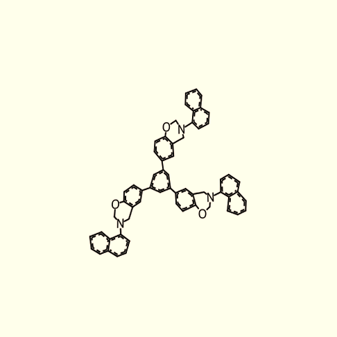 c1ccc2c(N3COc4ccc(-c5cc(-c6ccc7c(c6)CN(c6cccc8ccccc68)CO7)cc(-c6ccc7c(c6)CN(c6cccc8ccccc68)CO7)c5)cc4C3)cccc2c1